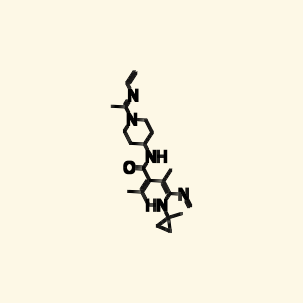 C=C/N=C(\C)N1CCC(NC(=O)C(=C(C)C)/C(C)=C(/N=C)NC2(C)CC2)CC1